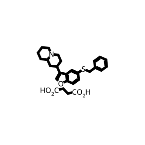 O=C(O)CCC(=O)O.c1ccc(CSc2ccc3occ(C4CCN5CCCCC5C4)c3c2)cc1